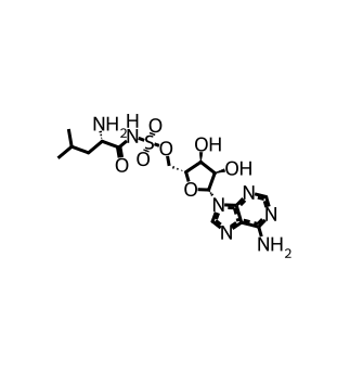 CC(C)C[C@H](N)C(=O)NS(=O)(=O)OC[C@H]1O[C@@H](n2cnc3c(N)ncnc32)[C@H](O)[C@@H]1O